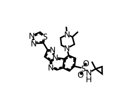 CC1CN(c2cc(S(=O)(=O)NC3(C)CC3)cc3cnc4cc(-c5nncs5)nn4c23)CCN1C